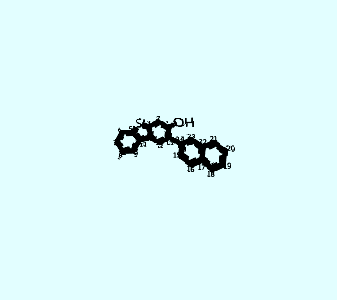 Oc1cc2sc3ccccc3c2cc1-c1ccc2ccccc2c1